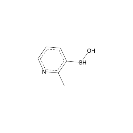 Cc1ncccc1BO